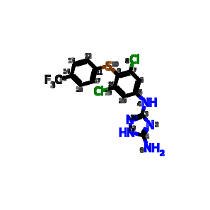 Nc1nc(Nc2cc(Cl)c(Sc3ccc(C(F)(F)F)cc3)c(Cl)c2)n[nH]1